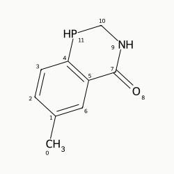 Cc1ccc2c(c1)C(=O)NCP2